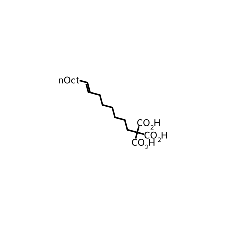 CCCCCCCCC=CCCCCCCC(C(=O)O)(C(=O)O)C(=O)O